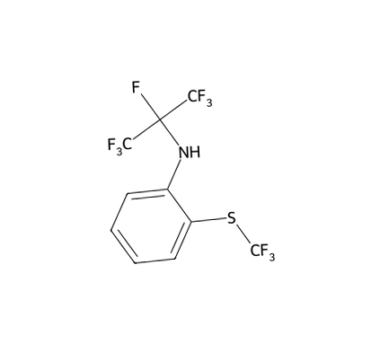 FC(F)(F)Sc1ccccc1NC(F)(C(F)(F)F)C(F)(F)F